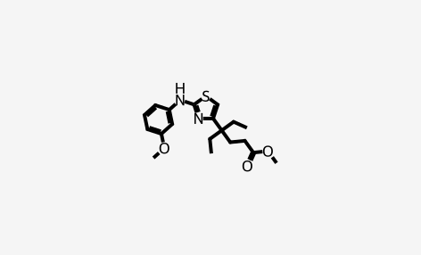 CCC(CC)(CCC(=O)OC)c1csc(Nc2cccc(OC)c2)n1